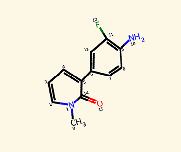 Cn1cccc(-c2ccc(N)c(F)c2)c1=O